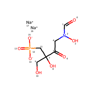 O=CN(O)CC(=O)C(O)(CO)CP(=O)([O-])[O-].[Na+].[Na+]